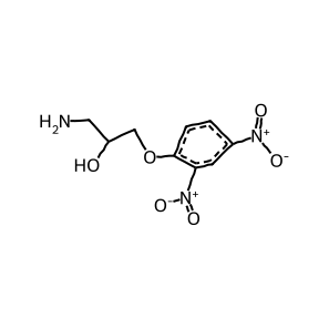 NCC(O)COc1ccc([N+](=O)[O-])cc1[N+](=O)[O-]